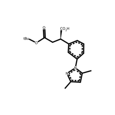 Cc1cc(C)n(-c2cccc([C@@H](CC(=O)OC(C)(C)C)C(=O)O)c2)n1